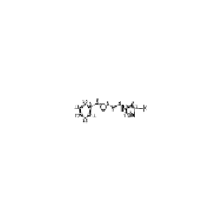 Ic1cn(CCCOCc2ccccc2)cn1